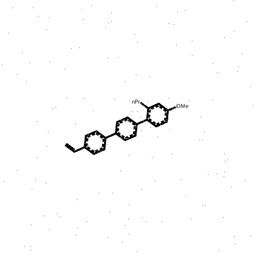 C=Cc1ccc(-c2ccc(-c3ccc(OC)cc3CCC)cc2)cc1